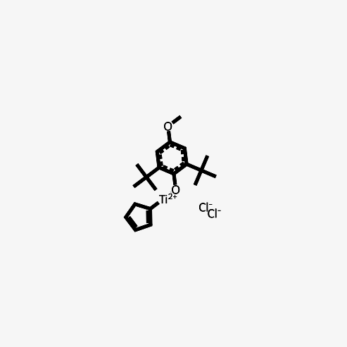 COc1cc(C(C)(C)C)c([O][Ti+2][C]2=CC=CC2)c(C(C)(C)C)c1.[Cl-].[Cl-]